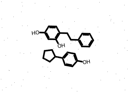 Oc1ccc(C2CCCC2)cc1.Oc1ccc(CCc2ccccc2)c(O)c1